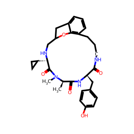 C[C@@H]1C(=O)N[C@H](Cc2ccc(O)cc2)C(=O)NCCCc2cccc3c2OC(CN[C@@H](C2CC2)C(=O)N1C)C3